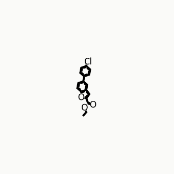 CCOC(=O)c1cc2cc(-c3ccc(Cl)cc3)ccc2o1